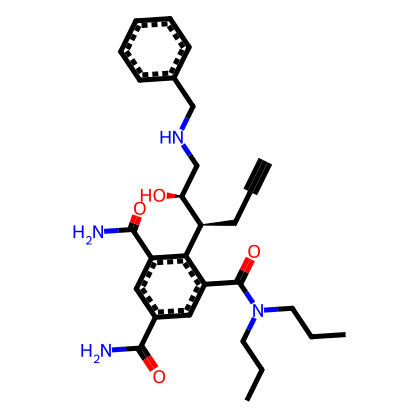 C#CC[C@@H](c1c(C(N)=O)cc(C(N)=O)cc1C(=O)N(CCC)CCC)[C@@H](O)CNCc1ccccc1